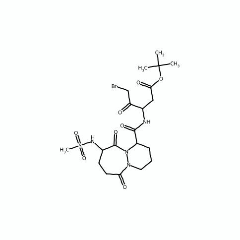 CC(C)(C)OC(=O)CC(NC(=O)C1CCCN2C(=O)CCC(NS(C)(=O)=O)C(=O)N12)C(=O)CBr